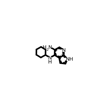 Nc1cnc2[nH]ccc2c1NC1CCCCC1